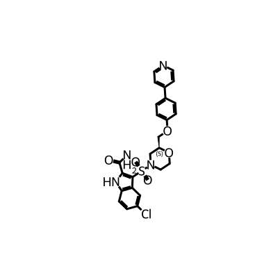 NC(=O)c1[nH]c2ccc(Cl)cc2c1S(=O)(=O)N1CCO[C@H](COc2ccc(-c3ccncc3)cc2)C1